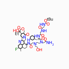 CC[C@@]1(O)C(=O)OCc2c1cc1n(c2=O)Cc2c-1nc1cc(F)c(C)c3c1c2[C@@H](NC(=O)CN(CCO)CCN(CC(N)=O)C(=O)[C@H](Cc1ccccc1)NC(=O)CNC(=O)CNC(=O)OC(C)(C)C)CC3